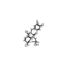 CC(C)(O)Cn1c(=O)n(Cc2ccc(Cl)c(F)c2)c(=O)c2ccc(Cl)cc21